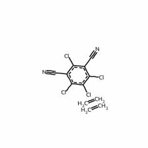 C=C.C=C.N#Cc1c(Cl)c(Cl)c(Cl)c(C#N)c1Cl